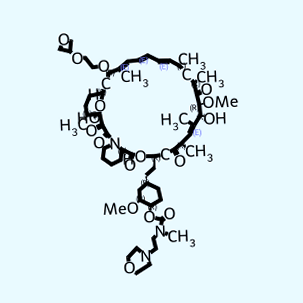 CO[C@@H]1C[C@H](CC[C@@H]2CC(=O)[C@H](C)/C=C(\C)[C@@H](O)[C@@H](OC)C(=O)[C@H](C)C[C@H](C)/C=C/C=C/C=C(\C)[C@H](OCCOC3COC3)C[C@@H]3CC[C@@H](C)[C@@](O)(O3)C(=O)C(=O)N3CCCC[C@H]3C(=O)O2)CC[C@H]1OC(=O)N(C)CCN1CCOCC1